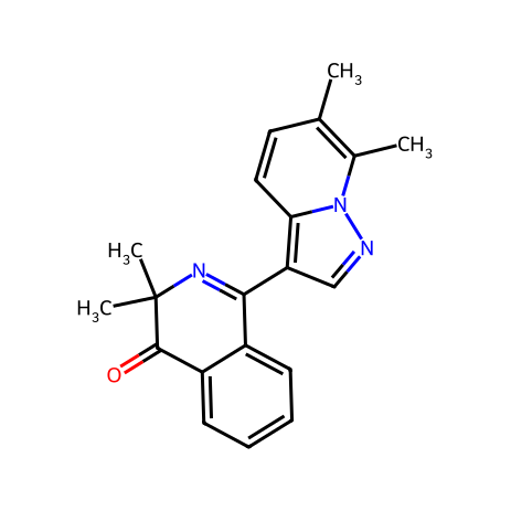 Cc1ccc2c(C3=NC(C)(C)C(=O)c4ccccc43)cnn2c1C